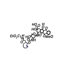 CCOC(=O)CCNC(=O)CC1CCCC/C=C/C1OC(=O)N[C@H]1C[C@H](O[C@H]2C[C@](O)(C(=O)CO)Cc3c(O)c4c(c(O)c32)C(=O)c2c(OC)cccc2C4=O)O[C@@H](C)[C@H]1O